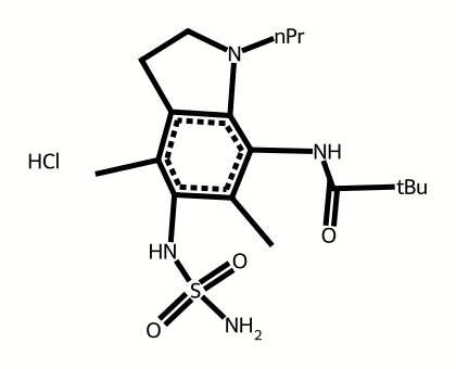 CCCN1CCc2c(C)c(NS(N)(=O)=O)c(C)c(NC(=O)C(C)(C)C)c21.Cl